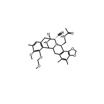 COCOc1c(OC)c(C)cc2c1C1C3Cc4c(C)c(C)c5c(c4[C@H](CNC(C)=O)N3[C@@H](C#N)[C@@H](C2)N1C)OCO5